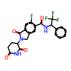 O=C1CCC(N2Cc3cc(C(=O)NC(c4ccccc4)C(F)(F)F)c(F)cc3C2=O)C(=O)N1